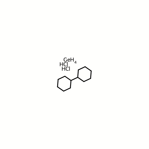 C1CCC(C2CCCCC2)CC1.Cl.Cl.[GeH4]